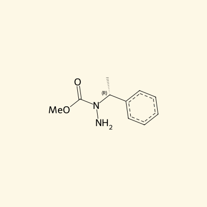 COC(=O)N(N)[C@H](C)c1ccccc1